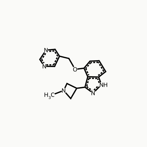 CN1CC(c2n[nH]c3cccc(OCc4cncnc4)c23)C1